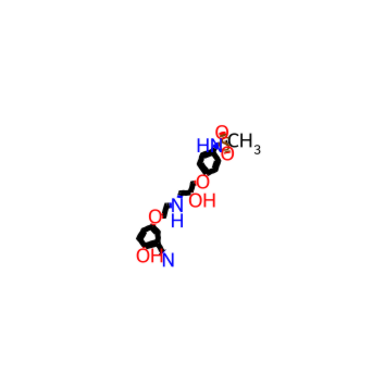 CS(=O)(=O)Nc1ccc(OCC(O)CNCCOc2ccc(O)c(C#N)c2)cc1